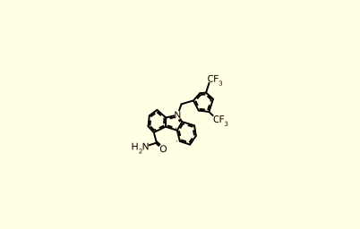 NC(=O)c1cccc2c1c1[c]cccc1n2Cc1cc(C(F)(F)F)cc(C(F)(F)F)c1